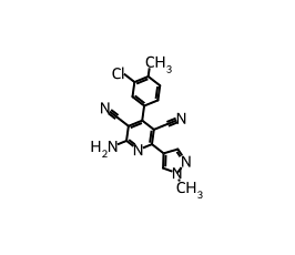 Cc1ccc(-c2c(C#N)c(N)nc(-c3cnn(C)c3)c2C#N)cc1Cl